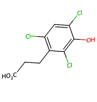 O=C(O)CCc1c(Cl)cc(Cl)c(O)c1Cl